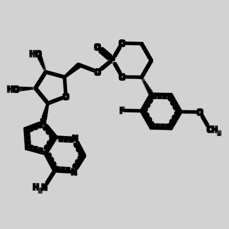 COc1ccc(F)c([C@H]2CCOP(=O)(OC[C@H]3O[C@@H](n4ccc5c(N)ncnc54)[C@H](O)[C@@H]3O)O2)c1